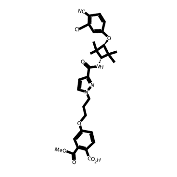 COC(=O)c1cc(OCCCn2ccc(C(=O)N[C@H]3C(C)(C)[C@H](Oc4ccc(C#N)c(Cl)c4)C3(C)C)n2)ccc1C(=O)O